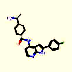 C[C@H](N)[C@H]1CC[C@H](C(=O)Nc2ccnc3[nH]c(-c4ccc(F)cc4)cc23)CC1